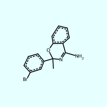 CC1(c2cccc(Br)c2)N=C(N)c2ccccc2O1